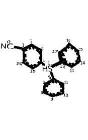 N#Cc1ccc([SH](c2ccccc2)c2ccccc2)cc1